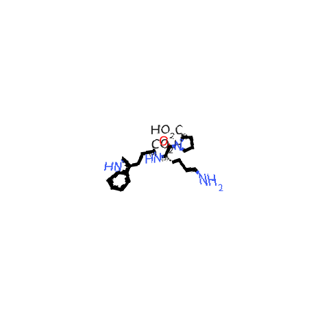 NCCCC[C@H](N[C@@H](CCc1c[nH]c2ccccc12)C(=O)O)C(=O)N1CCC[C@H]1C(=O)O